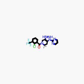 C[C@H]1CC2=C(CN1C(=O)c1cccc(C(F)(F)F)c1Cl)NNN2c1ncccn1